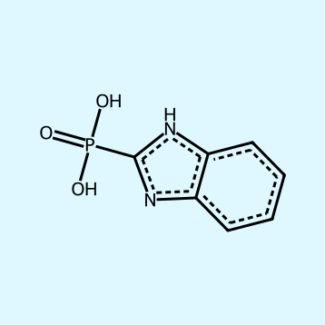 O=P(O)(O)c1nc2ccccc2[nH]1